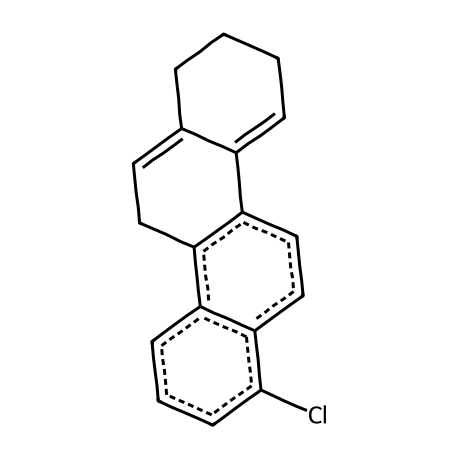 Clc1cccc2c3c(ccc12)C1=CCCCC1=CC3